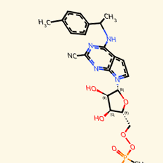 Cc1ccc(C(C)Nc2nc(C#N)nc3c2ccn3[C@@H]2O[C@H](COOP(C)(=O)O)[C@@H](O)[C@H]2O)cc1